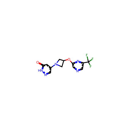 O=c1cc(N2CC(Oc3cncc(C(F)(F)F)n3)C2)cn[nH]1